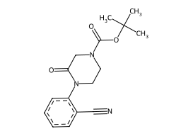 CC(C)(C)OC(=O)N1CCN(c2ccccc2C#N)C(=O)C1